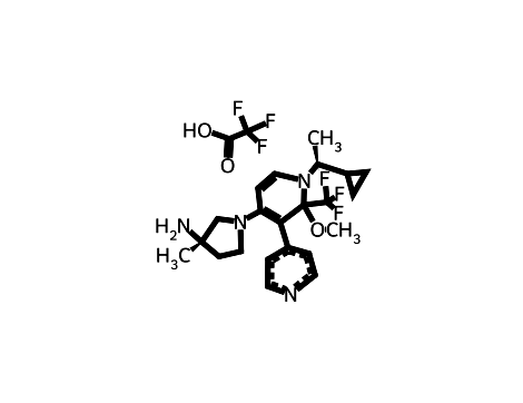 COC1(C(F)(F)F)C(c2ccncc2)=C(N2CC[C@](C)(N)C2)C=CN1[C@@H](C)C1CC1.O=C(O)C(F)(F)F